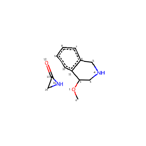 COC1CNCc2ccccc21.O=C1CN1